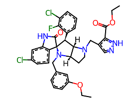 CCOC(=O)c1[nH]ncc1CN1CC[C@H]2[C@@H]1[C@H](c1cccc(Cl)c1F)[C@]1(C(=O)Nc3cc(Cl)ccc31)N2Cc1cccc(OCC)c1